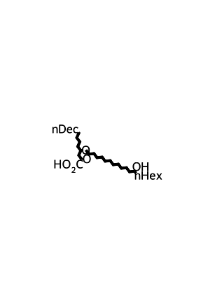 CCCCCCCCCCCCCCC(CCC(=O)O)OC(=O)CCCCCCCCCCC(O)CCCCCC